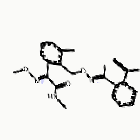 C=C(C)c1ccccc1/C(C)=N/OCc1c(C)cccc1/C(=N\OC)C(=O)NC